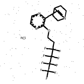 Cl.FC(F)(F)C(F)(F)C(F)(F)C(F)(F)CCOc1nccnc1C1=CN2CCC1CC2